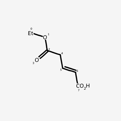 CCOC(=O)CC=CC(=O)O